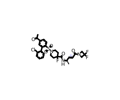 CC(=O)c1ccc(S(=O)(=O)N2CCC(F)(C(=O)N[C@H](C)/C=C/C(=O)N3CC(F)(F)C3)CC2)c(-c2ccccc2Cl)c1